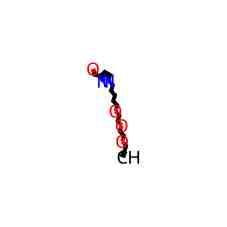 C#CCOCCOCCOCCCCCn1ccc(C=O)n1